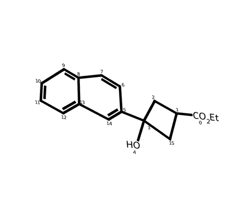 CCOC(=O)C1CC(O)(c2ccc3ccccc3c2)C1